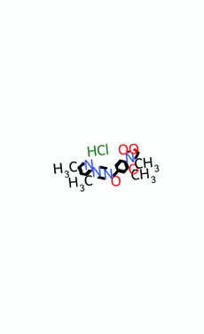 COc1cc(C(=O)N2CCN(c3ncc(C)cc3C)CC2)ccc1N1C(=O)OCC1C.Cl